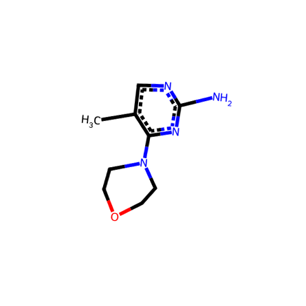 Cc1cnc(N)nc1N1CCOCC1